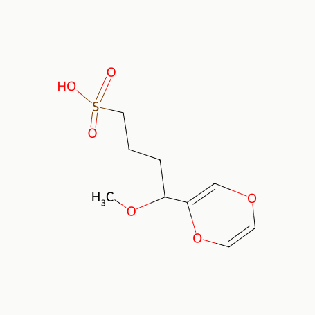 COC(CCCS(=O)(=O)O)C1=COC=CO1